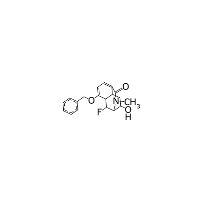 CN1C(=O)C2=CC=C(OCc3ccccc3)C3C2CC(O)C1C3F